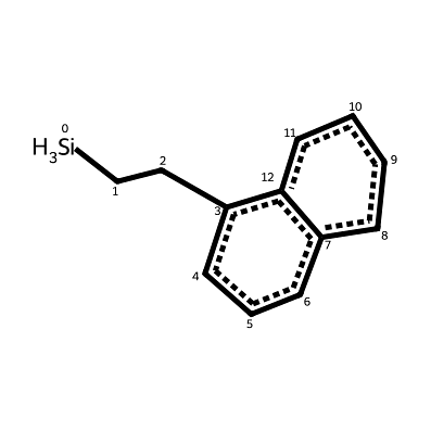 [SiH3]CCc1cccc2ccccc12